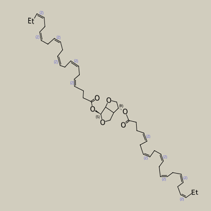 CC/C=C\C/C=C\C/C=C\C/C=C\C/C=C\C/C=C\CCC(=O)O[C@@H]1OCC2C1OC[C@@H]2OC(=O)CC/C=C\C/C=C\C/C=C\C/C=C\C/C=C\C/C=C\CC